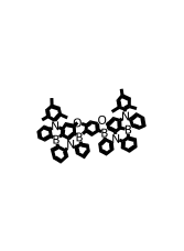 Cc1cc(C)c(N2c3ccccc3B3c4ccccc4N4c5ccccc5B5c6cc7c(cc6Oc6cc2c3c4c65)Oc2cc3c4c5c2B7c2ccccc2N5c2ccccc2B4c2ccccc2N3c2c(C)cc(C)cc2C)c(C)c1